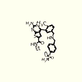 CCNC(=O)c1cc2c(-c3cc(CNCc4ccc(S(N)(=O)=O)cc4)ccc3C)nc(N)nc2s1